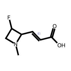 CN1CC(F)C1/C=C/C(=O)O